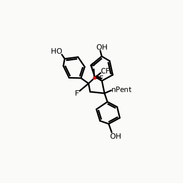 CCCCCC(CC(F)(c1ccc(O)cc1)C(F)(F)C(F)(F)F)(c1ccc(O)cc1)c1ccc(O)cc1